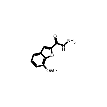 COc1cccc2cc(C(=O)NN)oc12